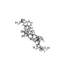 CC(C)C1=C2[C@H]3CC[C@@H]4[C@@]5(C)CC[C@H](OC(=O)CC(C)(C)C(=O)O)C(C)(C)[C@@H]5CC[C@@]4(C)[C@]3(C)CC[C@@]2([C@@H](O)CN(CCN(C)C)C2CCCCC2)CC1=O